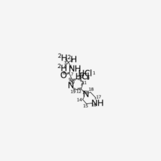 Cl.Cl.[2H]C([2H])([2H])NC(=O)c1ccc(N2CCNCC2)cn1